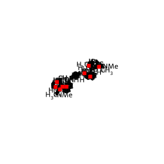 CNC(C)C(=S)N[C@H]1CCS[C@H]2CC(C)(C)[C@@H](C(=O)N[C@H]3c4ccccc4CC[C@H]3C(=O)NCc3ccc(CNC(=O)[C@@H]4CCc5ccccc5[C@@H]4NC(=O)[C@H]4N5C(=O)[C@@H](NC(=S)C(C)NC)CCS[C@H]5CC4(C)C)cc3)N2C1=O